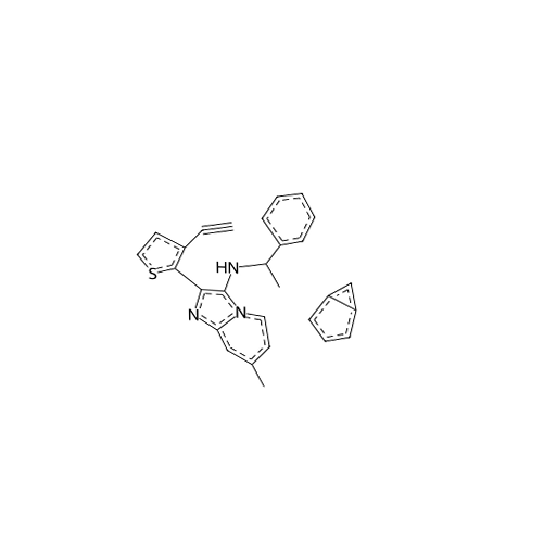 C#Cc1ccsc1-c1nc2cc(C)ccn2c1NC(C)c1ccccc1.c1cc2cc-2c1